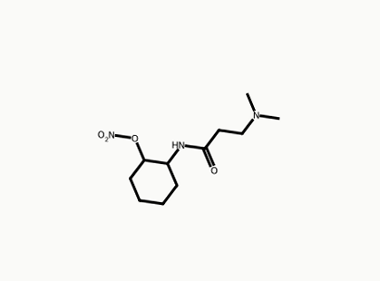 CN(C)CCC(=O)NC1CCCCC1O[N+](=O)[O-]